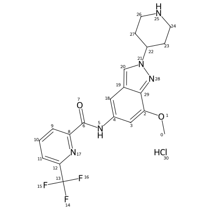 COc1cc(NC(=O)c2cccc(C(F)(F)F)n2)cc2cn(C3CCNCC3)nc12.Cl